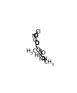 Cc1cnc(NC(=O)N2CC/C(=C\c3cccc(Oc4ccc(Cl)cn4)c3)C(C)C2)cn1